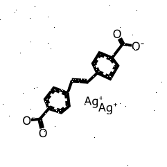 O=C([O-])c1ccc(C=Cc2ccc(C(=O)[O-])cc2)cc1.[Ag+].[Ag+]